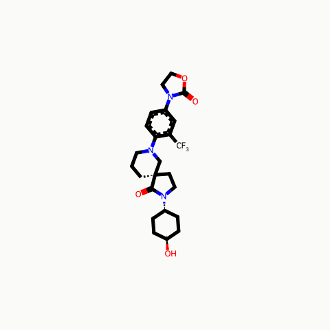 O=C1OCCN1c1ccc(N2CCC[C@@]3(CCN([C@H]4CC[C@H](O)CC4)C3=O)C2)c(C(F)(F)F)c1